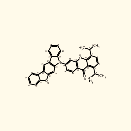 CC(C)c1ccc(C(C)C)c2c(=O)c3ccc(-n4c5ccccc5c5cc6c(cc54)oc4ccccc46)cc3oc12